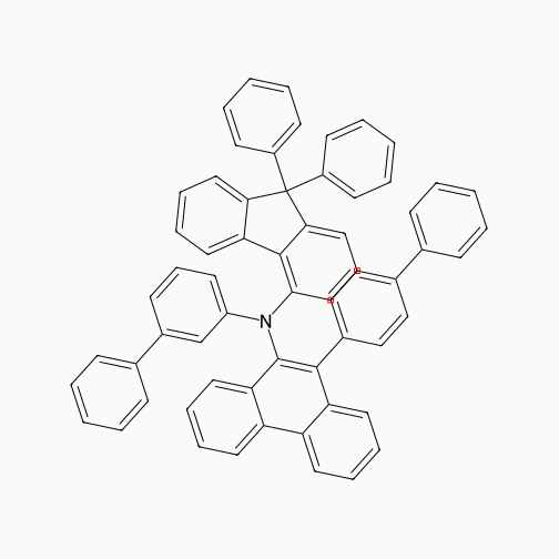 c1ccc(-c2ccc(-c3c(N(c4cccc(-c5ccccc5)c4)c4cccc5c4-c4ccccc4C5(c4ccccc4)c4ccccc4)c4ccccc4c4ccccc34)cc2)cc1